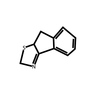 c1ccc2c(c1)CC1SCN=C21